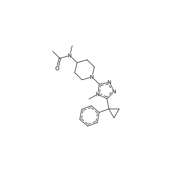 CC(=O)N(C)C1CCN(c2nnc(C3(c4ccccc4)CC3)n2C)CC1